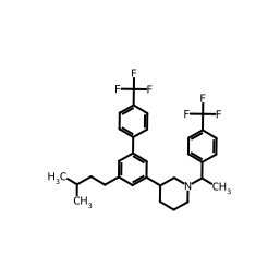 CC(C)CCc1cc(-c2ccc(C(F)(F)F)cc2)cc(C2CCCN(C(C)c3ccc(C(F)(F)F)cc3)C2)c1